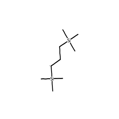 C[Si](C)(C)[CH]CC[Si](C)(C)C